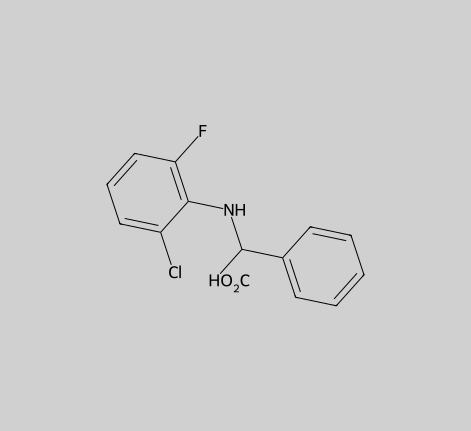 O=C(O)C(Nc1c(F)cccc1Cl)c1ccccc1